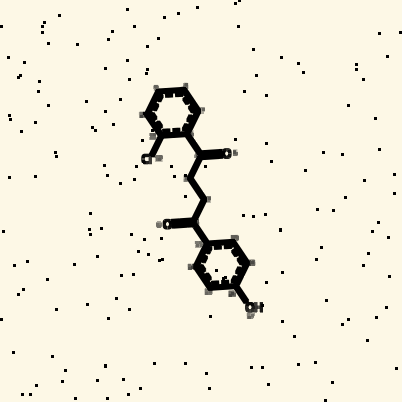 O=C(CCC(=O)c1ccccc1Cl)c1ccc(O)cc1